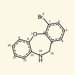 Brc1cccc2c1Oc1ccccc1NC2